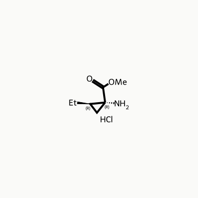 CC[C@@H]1C[C@]1(N)C(=O)OC.Cl